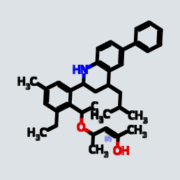 CCc1cc(C)cc(C2CC(CC(C)C)c3cc(-c4ccccc4)ccc3N2)c1C(C)OC(C)/C=C(/C)O